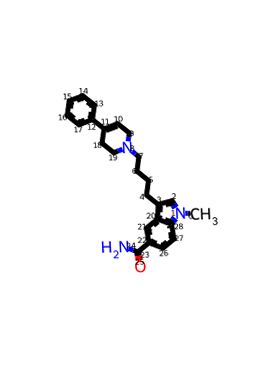 Cn1cc(CCCCN2CC=C(c3ccccc3)CC2)c2cc(C(N)=O)ccc21